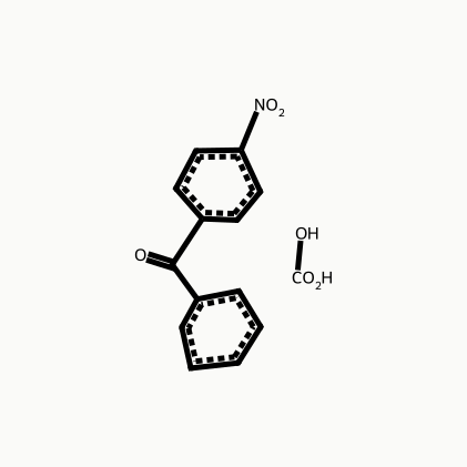 O=C(O)O.O=C(c1ccccc1)c1ccc([N+](=O)[O-])cc1